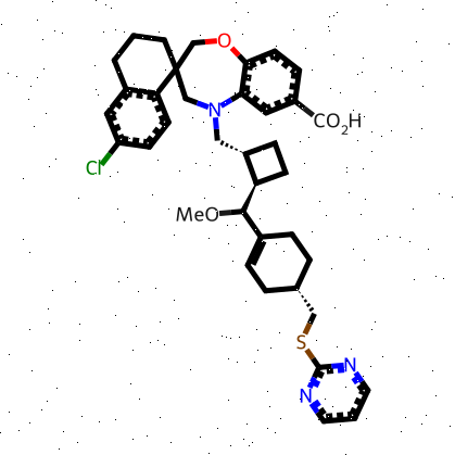 COC(C1=CC[C@@H](CSc2ncccn2)CC1)[C@@H]1CC[C@H]1CN1CC2(CCCc3cc(Cl)ccc32)COc2ccc(C(=O)O)cc21